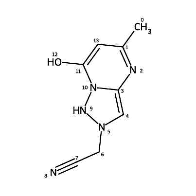 CC1=NC2=CN(CC#N)NN2C(O)=C1